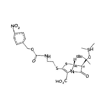 C[SiH](C)OC(C)([C@H]1C(=O)N2C(C(=O)O)=C(SCCNC(=O)OCc3ccc([N+](=O)[O-])cc3)S[C@H]12)C(C)(C)C